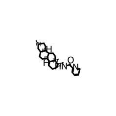 C[C@H]1CC[C@H]2C(CC[C@@H]3C2CC[C@@]2(C)C3CCC[C@@H]2CNC(=O)c2ccccn2)C1